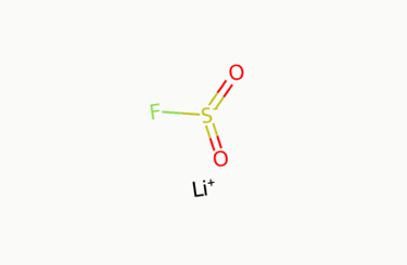 O=[S-](=O)F.[Li+]